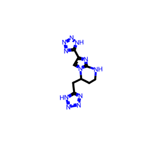 c1c(-c2nnn[nH]2)nc2n1C(Cc1nnn[nH]1)CCN2